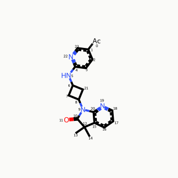 CC(=O)c1ccc(NC2CC(N3C(=O)C(C)(C)c4cccnc43)C2)nc1